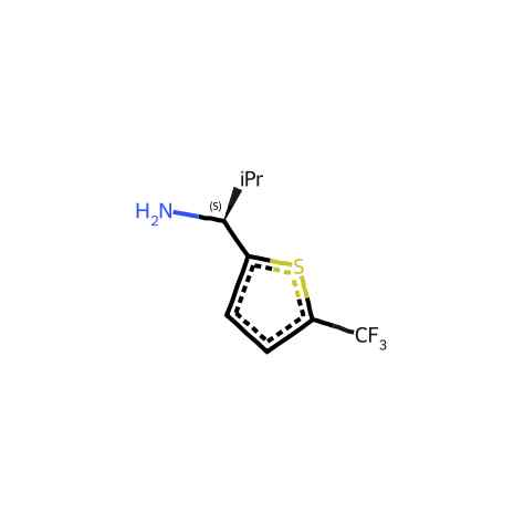 CC(C)[C@H](N)c1ccc(C(F)(F)F)s1